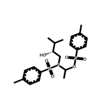 Cc1ccc(S(=O)(=O)OC(C)N(C[C@H](O)C(C)C)S(=O)(=O)c2ccc(C)cc2)cc1